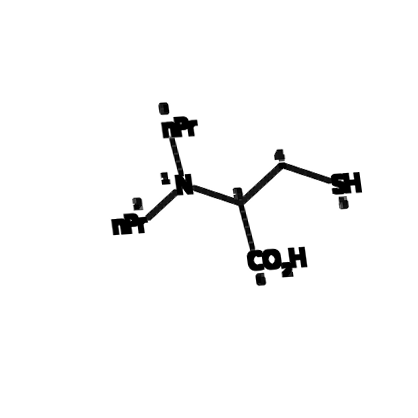 CCCN(CCC)C(CS)C(=O)O